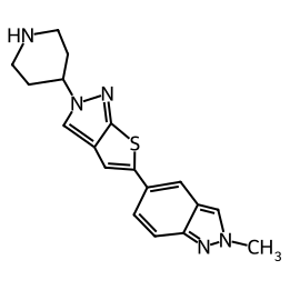 Cn1cc2cc(-c3cc4cn(C5CCNCC5)nc4s3)ccc2n1